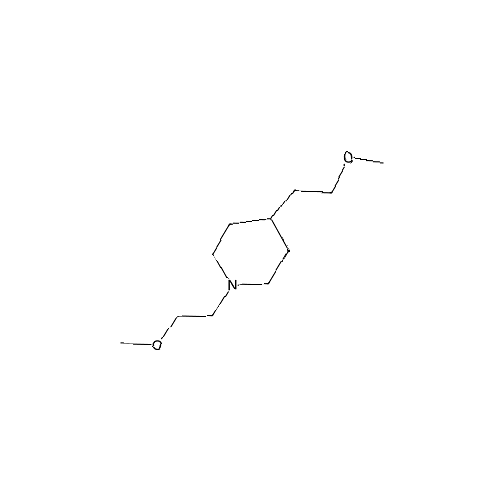 COCCC1CCN(CCOC)CC1